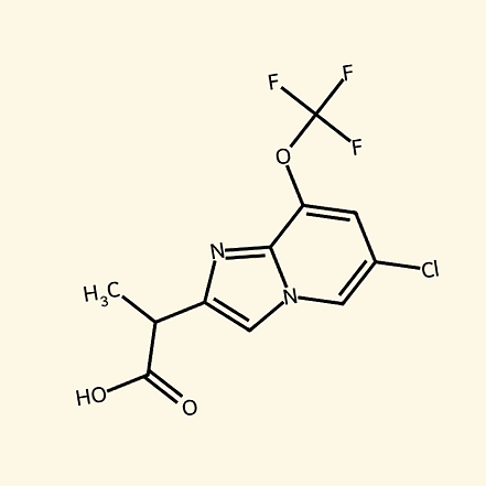 CC(C(=O)O)c1cn2cc(Cl)cc(OC(F)(F)F)c2n1